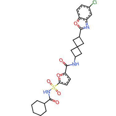 O=C(NC1CC2(C1)CC(c1nc3cc(Cl)ccc3o1)C2)c1ccc(S(=O)(=O)NC(=O)C2CCCCC2)o1